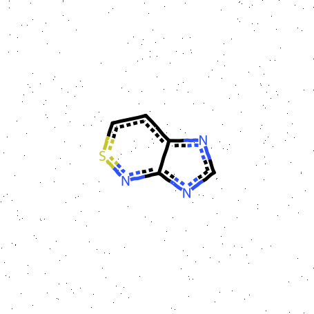 c1nc2ccsnc-2n1